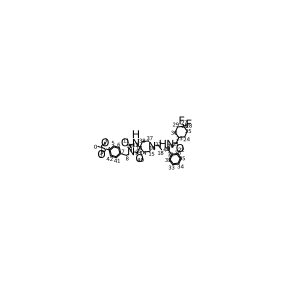 CS(=O)(=O)c1ccc(CN2C(=O)NC3(CCN(CC[C@H](NC(=O)C4CCC(F)(F)CC4)c4ccccc4)CC3)C2=O)cc1